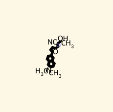 CC(O)/C(C#N)=C/c1ccc(-c2ccc3cc(N(C)C)ccc3c2)o1